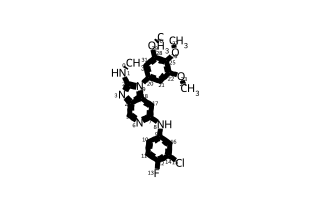 CNc1nc2cnc(Nc3ccc(F)c(Cl)c3)cc2n1-c1cc(OC)c(OC)c(OC)c1